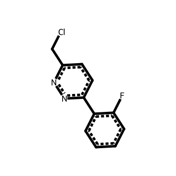 Fc1ccccc1-c1ccc(CCl)nn1